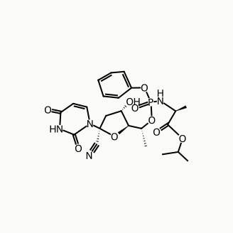 CC(C)OC(=O)[C@H](C)NP(=O)(Oc1ccccc1)O[C@H](C)[C@H]1O[C@@](C#N)(n2ccc(=O)[nH]c2=O)C[C@@H]1O